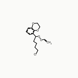 C=COOC(CCCCCl)c1cccc2c1OCCO2